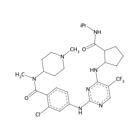 CC(C)NC(=O)C1CCCC1Nc1nc(Nc2ccc(C(=O)N(C)C3CCN(C)CC3)c(Cl)c2)ncc1C(F)(F)F